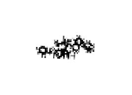 c1ccc(COc2cc3c(-c4c(C5CC5)ncn4C4CCCc5c4cccc5N4CCOCC4)c[nH]c3cn2)cc1